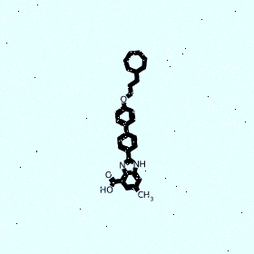 Cc1cc(C(=O)O)c2nc(-c3ccc(-c4ccc(OCCCC5CCCCCC5)cc4)cc3)[nH]c2c1